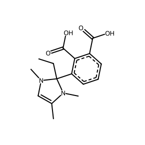 CCC1(c2cccc(C(=O)O)c2C(=O)O)N(C)C=C(C)N1C